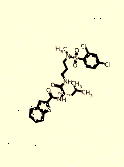 CC(C)C[C@H](NC(=O)c1cc2ccccc2s1)C(=O)NCCCN(C)S(=O)(=O)c1ccc(Cl)cc1Cl